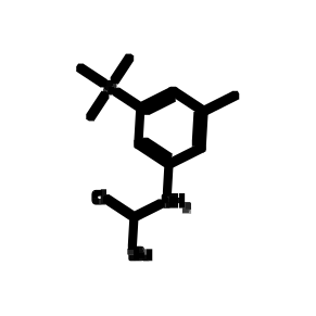 Cc1cc([SiH2]C(Cl)C(C)(C)C)cc([Si](C)(C)C)c1